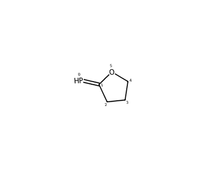 P=C1CCCO1